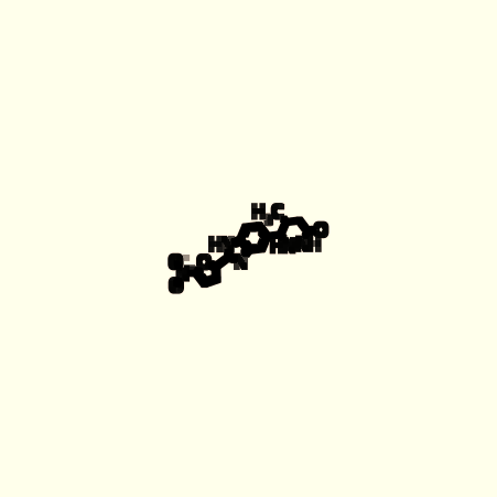 CC1CC(=O)NNC1c1ccc2[nH]c(-c3ccc([N+](=O)[O-])o3)nc2c1